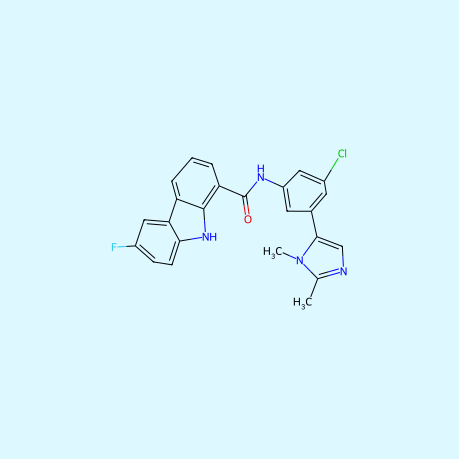 Cc1ncc(-c2cc(Cl)cc(NC(=O)c3cccc4c3[nH]c3ccc(F)cc34)c2)n1C